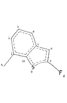 Cc1cccc2cc(F)sc12